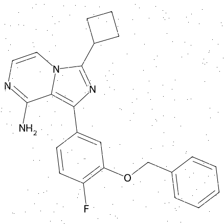 Nc1nccn2c(C3CCC3)nc(-c3ccc(F)c(OCc4ccccc4)c3)c12